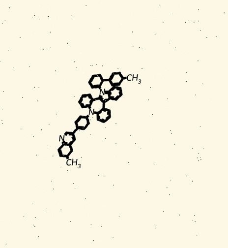 CC1C=CC(C2CC=CC=C2n2c3c(c4ccccc42)-c2ccccc2N(C2C=CC(c4cnc5c(c4)CC(C)C=C5)=CC2)c2ccccc2-3)=CC1